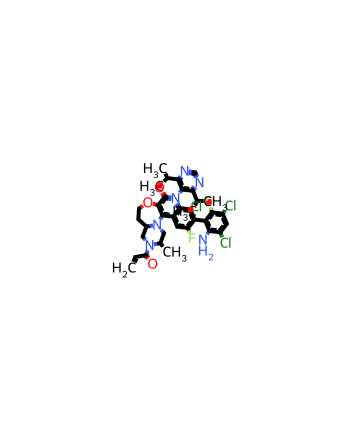 C=CC(=O)N1CC2CCOc3c(c4cc(F)c(-c5c(N)c(Cl)cc(Cl)c5F)c(Cl)c4n(-c4c(C(C)C)ncnc4C(C)C)c3=O)N2CC1C